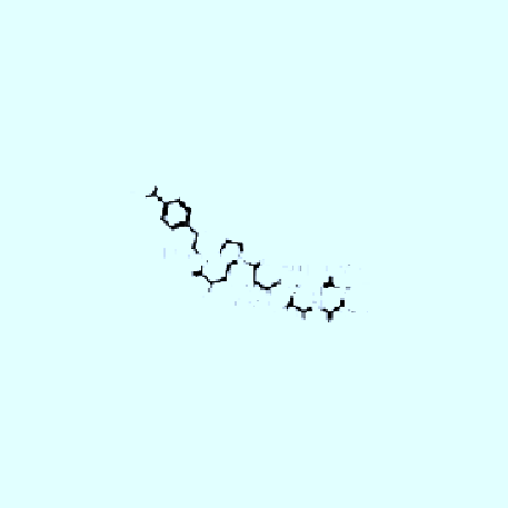 CCCC(CC)c1ccc([C@H](O)[C@@H](C)NC(=O)[C@H](C)[C@@H](OC)[C@@H]2CCCN2C(=O)C[C@@H](OC)[C@H]([C@@H](C)CC)N(C)C(=O)[C@@H](NC(=O)[C@H](C(C)C)N(C)C(=O)OC)C(C)C)cc1